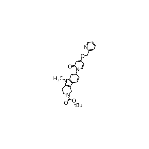 Cn1c2c(c3ccc(-n4ccc(OCc5ccccn5)cc4=O)cc31)CN(C(=O)OC(C)(C)C)CC2